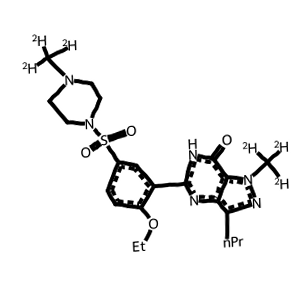 [2H]C([2H])([2H])N1CCN(S(=O)(=O)c2ccc(OCC)c(-c3nc4c(CCC)nn(C([2H])([2H])[2H])c4c(=O)[nH]3)c2)CC1